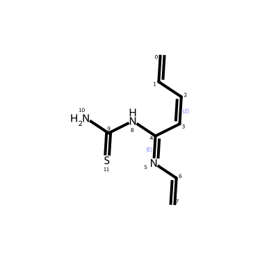 C=C/C=C\C(=N/C=C)NC(N)=S